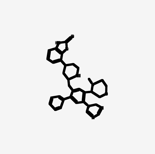 CN1CCOCC1c1cc(CC2CC(c3cccc4c3[N]C(=O)N4)CCN2)c(-c2ccccc2)cc1N1C=NC=NC1